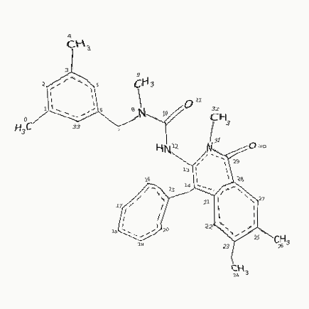 Cc1cc(C)cc(CN(C)C(=O)Nc2c(-c3ccccc3)c3cc(C)c(C)cc3c(=O)n2C)c1